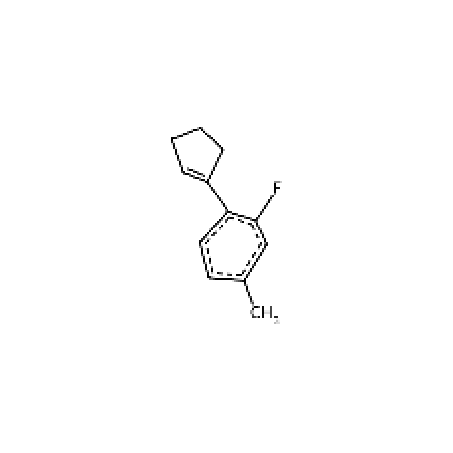 Cc1ccc(C2=CCCC2)c(F)c1